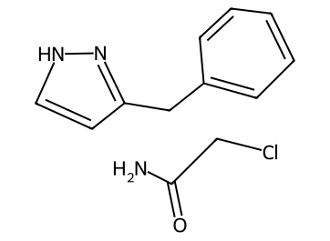 NC(=O)CCl.c1ccc(Cc2cc[nH]n2)cc1